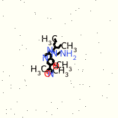 CCCC(CCC)c1nc2cnc3cc(-c4c(C)noc4C)c(OC)cc3c2n1CCN